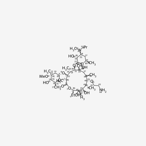 CC[C@H]1OC(=O)[C@H](C)[C@@H](O[C@H]2C[C@@](C)(OC)[C@@H](O)[C@H](C)O2)[C@H](C)[C@@H](O[C@@H]2O[C@H](C)C[C@H](N(C)C(C)C)[C@H]2O)[C@](C)(O)C[C@@H](C)[C@H](OCCN)[C@H](C)[C@@H](O)[C@]1(C)O